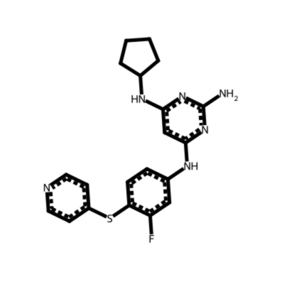 Nc1nc(Nc2ccc(Sc3ccncc3)c(F)c2)cc(NC2CCCC2)n1